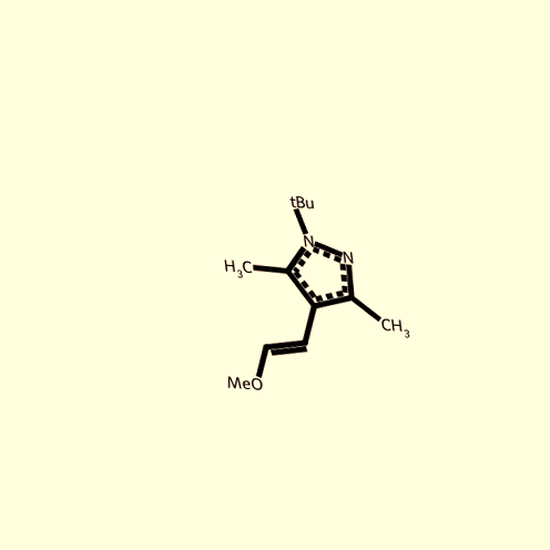 COC=Cc1c(C)nn(C(C)(C)C)c1C